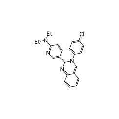 CCN(CC)c1ccc(C2N=c3ccccc3=CN2c2ccc(Cl)cc2)cn1